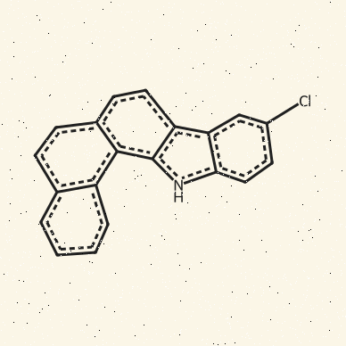 Clc1ccc2[nH]c3c(ccc4ccc5ccccc5c43)c2c1